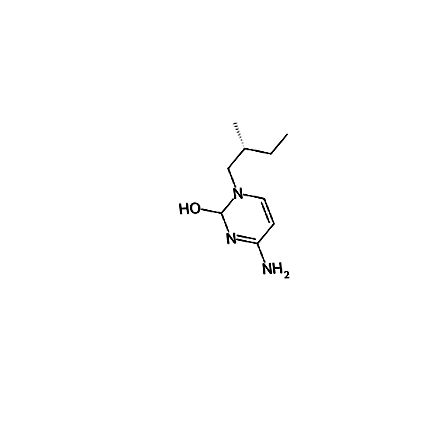 CC[C@@H](C)CN1C=CC(N)=NC1O